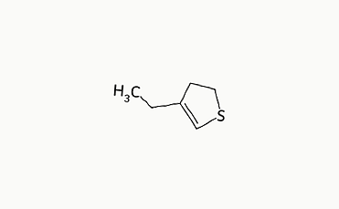 CCC1=CSCC1